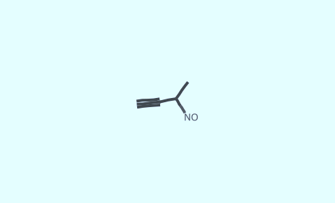 C#CC(C)N=O